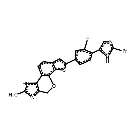 Cc1nc2c([nH]1)-c1ccc3cc(-c4ccc(-c5cnc(C(C)C)[nH]5)c(F)c4)sc3c1OC2